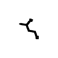 [CH2]C(Br)CCCl